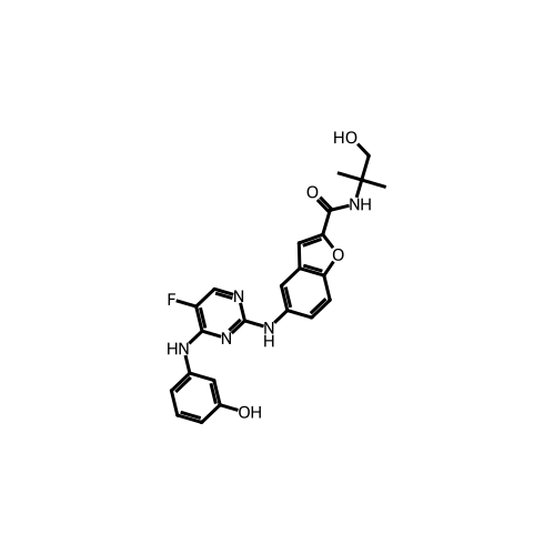 CC(C)(CO)NC(=O)c1cc2cc(Nc3ncc(F)c(Nc4cccc(O)c4)n3)ccc2o1